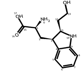 N[C@@H](C[C@@H]1c2ccccc2N[C@@H]1CCO)C(=O)O